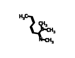 C\C=C/C=C\C(=N\C)B(C)C